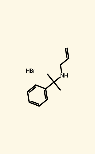 Br.C=CCNC(C)(C)c1ccccc1